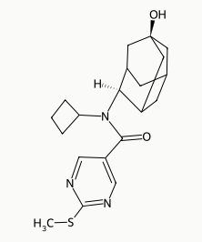 CSc1ncc(C(=O)N(C2CCC2)[C@H]2C3CC4CC2C[C@@](O)(C4)C3)cn1